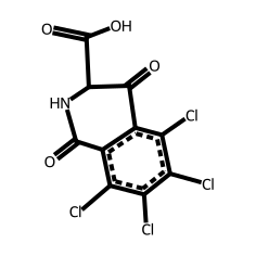 O=C1NC(C(=O)O)C(=O)c2c(Cl)c(Cl)c(Cl)c(Cl)c21